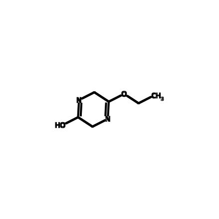 CCOC1=NCC(O)=NC1